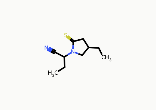 CCC1CC(=S)N(C(C#N)CC)C1